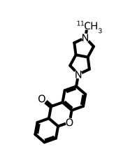 [11CH3]N1CC2CN(c3ccc4c(c3)C(=O)C3C=CC=CC3O4)CC2C1